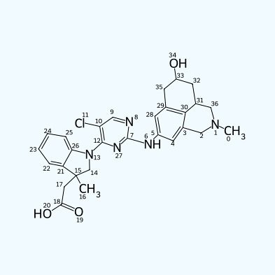 CN1Cc2cc(Nc3ncc(Cl)c(N4CC(C)(CC(=O)O)c5ccccc54)n3)cc3c2C(CC(O)C3)C1